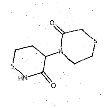 O=C1NSCCC1N1CCS[CH]C1=O